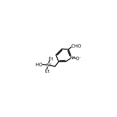 CC[N+](O)(CC)Cc1ccc(C=O)[n+]([O-])c1